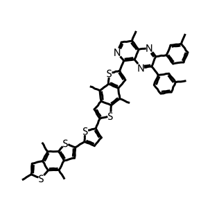 Cc1cccc(-c2nc3c(C)cnc(-c4cc5c(C)c6sc(-c7ccc(-c8cc9c(C)c%10sc(C)cc%10c(C)c9s8)s7)cc6c(C)c5s4)c3nc2-c2cccc(C)c2)c1